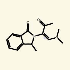 CC(=O)/C(=C\N(C)C)N1C(=O)c2ccccc2C1C